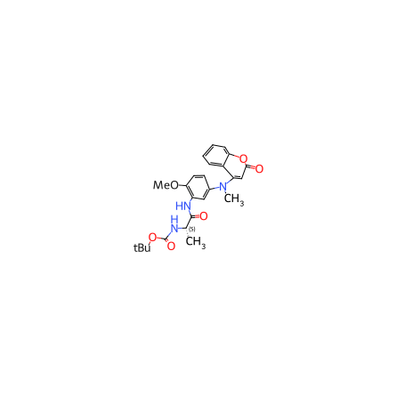 COc1ccc(N(C)c2cc(=O)oc3ccccc23)cc1NC(=O)[C@H](C)NC(=O)OC(C)(C)C